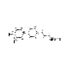 CCCC(C)CCCC1CCC(C2CCC(F)C(F)C2)CC1